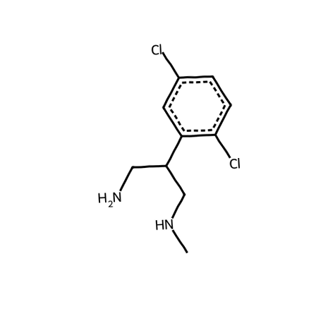 CNCC(CN)c1cc(Cl)ccc1Cl